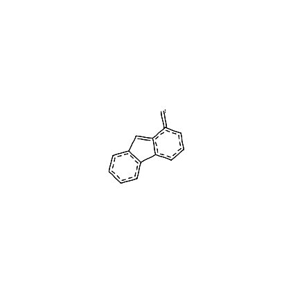 [C]=c1cccc2c1=Cc1ccccc1-2